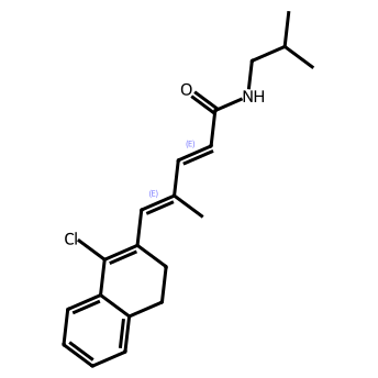 CC(/C=C/C(=O)NCC(C)C)=C\C1=C(Cl)c2ccccc2CC1